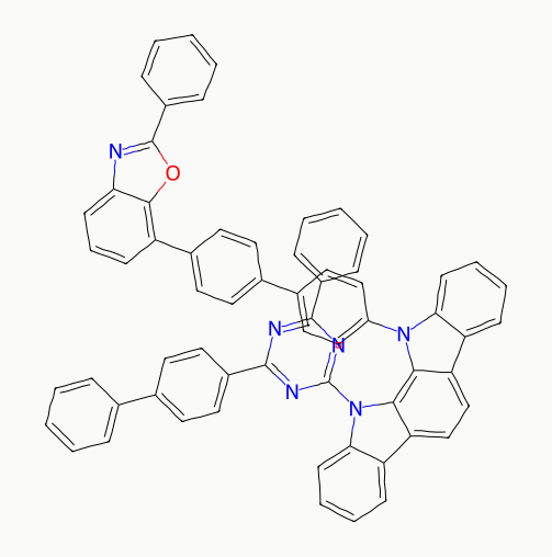 c1ccc(-c2ccc(-c3nc(-c4ccccc4)nc(-n4c5ccccc5c5ccc6c7ccccc7n(-c7ccc(-c8ccc(-c9cccc%10nc(-c%11ccccc%11)oc9%10)cc8)cc7)c6c54)n3)cc2)cc1